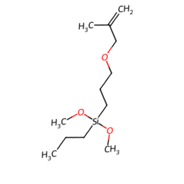 C=C(C)COCCC[Si](CCC)(OC)OC